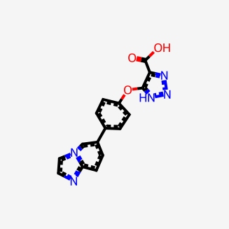 O=C(O)c1nn[nH]c1Oc1ccc(-c2ccc3nccn3c2)cc1